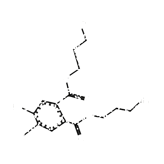 CCc1cc(C(=O)OCCCC(C)C)c(C(=O)OCCCC(C)C)cc1C